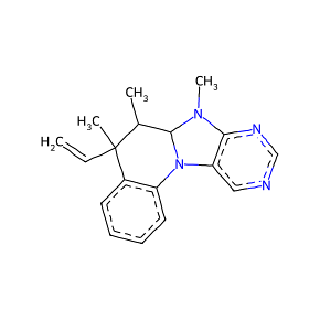 C=CC1(C)c2ccccc2N2c3cncnc3N(C)C2C1C